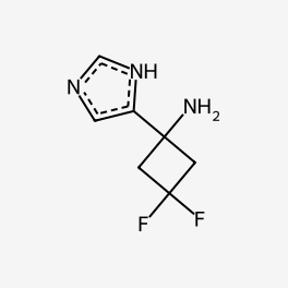 NC1(c2cnc[nH]2)CC(F)(F)C1